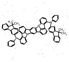 CC1(C)c2ccccc2-c2cc(N(c3ccccc3)c3cccc4c3c3cccc5c6cc7c(cc6n4c53)c3cccc4c5c(N(c6ccccc6)c6ccc8c(c6)C(C)(C)c6ccccc6-8)cccc5n7c34)ccc21